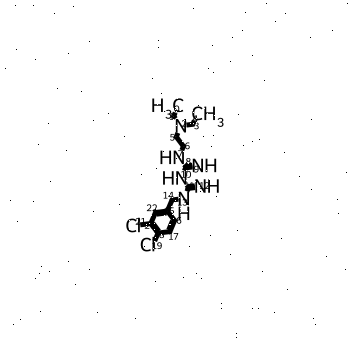 CCN(CC)CCNC(=N)NC(=N)NCc1ccc(Cl)c(Cl)c1